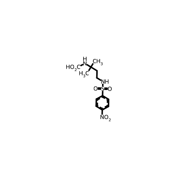 CC(C)(CCNS(=O)(=O)c1ccc([N+](=O)[O-])cc1)NC(=O)O